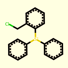 ClCc1ccccc1[S+](c1ccccc1)c1ccccc1